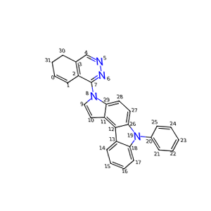 C1=Cc2c(cnnc2-n2ccc3c4c5ccccc5n(-c5ccccc5)c4ccc32)CC1